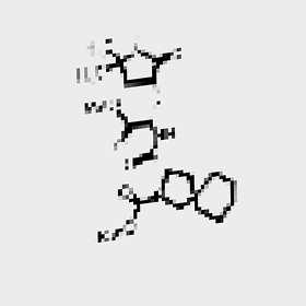 COC(=O)[C@H](C[C@@H]1CC(C)(C)NC1=O)NC(=O)[C@@H]1CC2(CCCCC2)CN1C(=O)OC(C)(C)C